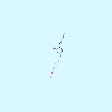 CCCC/C=C/C1C=CC(CCCCCCCC(=O)OC)CC1C(=O)O